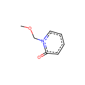 COCn1ccccc1=O